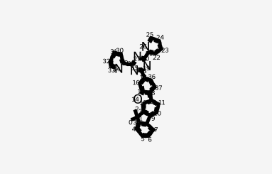 CC1(C)c2ccccc2-c2ccc3c(oc4cc(-c5nc(-c6ccccn6)nc(-c6ccccn6)n5)ccc43)c21